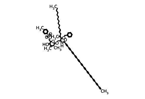 CC#CC#CC#CC#CC#CC#CC#CC#CC#CC#CC#CC#CC(=O)N[C@@H](CO[C@H]1OC(COS(=O)(=O)c2ccc(C)cc2)[C@H](O)[C@H](C)C1C)[C@H](OCc1ccccc1)[C@H](C)CC=CCCCCCCCCCCC